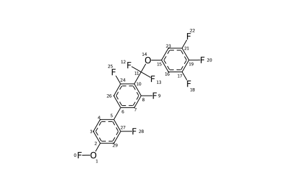 FOc1ccc(-c2cc(F)c(C(F)(F)Oc3cc(F)c(F)c(F)c3)c(F)c2)c(F)c1